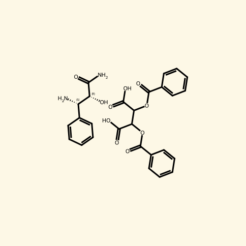 NC(=O)[C@H](O)[C@@H](N)c1ccccc1.O=C(OC(C(=O)O)C(OC(=O)c1ccccc1)C(=O)O)c1ccccc1